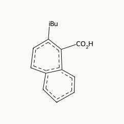 CCC(C)c1ccc2ccccc2c1C(=O)O